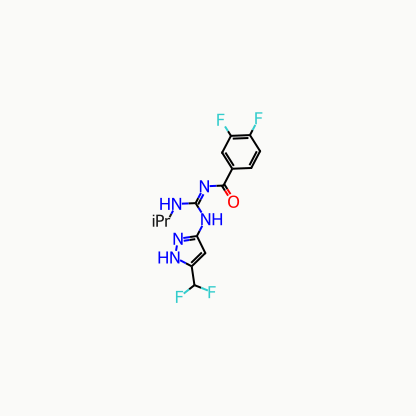 CC(C)N/C(=N/C(=O)c1ccc(F)c(F)c1)Nc1cc(C(F)F)[nH]n1